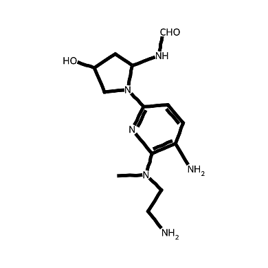 CN(CCN)c1nc(N2CC(O)CC2NC=O)ccc1N